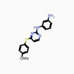 COc1ccc(Sc2ccnc(Nc3cccc(N)c3)n2)cc1